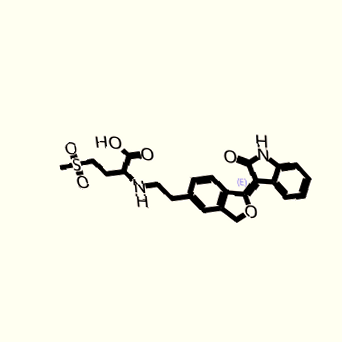 CS(=O)(=O)CCC(NCCc1ccc2c(c1)CO/C2=C1/C(=O)Nc2ccccc21)C(=O)O